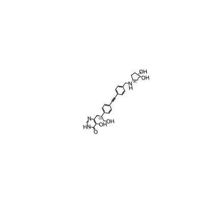 O=c1[nH]cnc(C[C@H](CO)c2ccc(C#Cc3ccc(CN[C@@H]4CCS(O)(O)C4)cc3)cc2)c1O